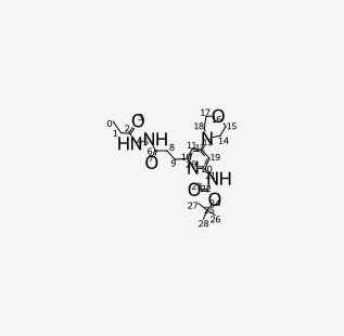 CCC(=O)NNC(=O)CCc1cc(N2CCOCC2)cc(NC(=O)OC(C)(C)C)n1